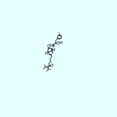 Cc1cccc(C[C@H](O)/C=C/[C@@H]2[C@H]3CC(CCSCC(=O)N(C(C)C)C(C)C)=C[C@H]3C[C@H]2O)c1